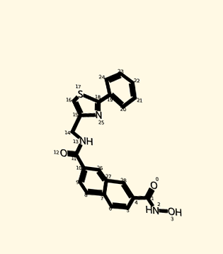 O=C(NO)c1ccc2ccc(C(=O)NCc3csc(-c4ccccc4)n3)cc2c1